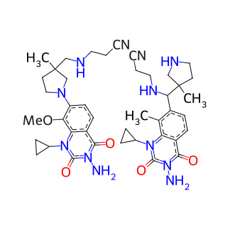 COc1c(N2CCC(C)(CNCCC#N)C2)ccc2c(=O)n(N)c(=O)n(C3CC3)c12.Cc1c(C(NCCC#N)C2(C)CCNC2)ccc2c(=O)n(N)c(=O)n(C3CC3)c12